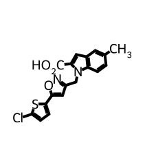 Cc1ccc2c(c1)cc(C(=O)O)n2Cc1cc(-c2ccc(Cl)s2)on1